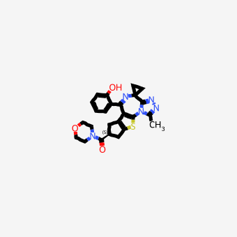 Cc1nnc2n1-c1sc3c(c1C(c1ccccc1O)=NC21CC1)C[C@H](C(=O)N1CCOCC1)C3